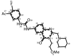 COCCn1c(CN2CCCCC2)nc2ccc(NC(=O)Nc3ccc(F)c(C(C)=O)c3)cc2c1=O